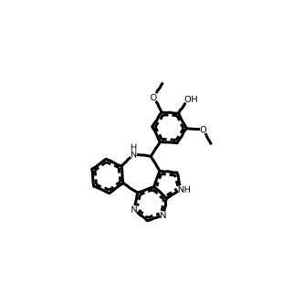 COc1cc(C2Nc3ccccc3-c3ncnc4[nH]cc2c34)cc(OC)c1O